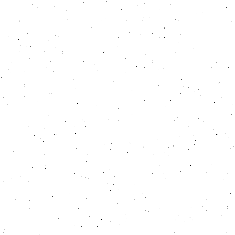 CCOC(=O)C(C(=O)O)c1ccc([N+](=O)[O-])c(C2=CCCCC2)c1